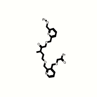 CC(C)OCc1cccc(COCC(=O)C(C)CCOCc2ncccc2COCC(=O)C(C)C)n1